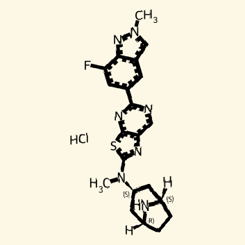 CN(c1nc2cnc(-c3cc(F)c4nn(C)cc4c3)nc2s1)[C@@H]1C[C@H]2CC[C@@H](C1)N2.Cl